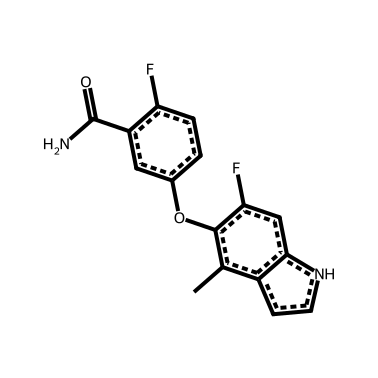 Cc1c(Oc2ccc(F)c(C(N)=O)c2)c(F)cc2[nH]ccc12